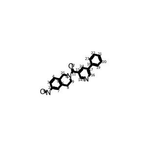 O=Nc1ccc2c(c1)CCN(C(=O)c1cncc(-c3ccccc3)c1)C2